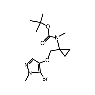 CN(C(=O)OC(C)(C)C)C1(COc2cnn(C)c2Br)CC1